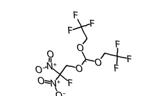 O=[N+]([O-])C(F)(CO[C](OCC(F)(F)F)OCC(F)(F)F)[N+](=O)[O-]